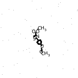 CCOC(=O)c1csc(-c2ccc(OCCOC)cc2)n1